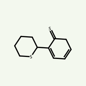 S=C1CC=CC=C1[C]1CCCCS1